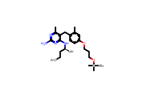 CCC[C@@H](CCOC(C)=O)Nc1nc(N)nc(C)c1Cc1ccc(OCCCO[Si](C)(C)C(C)(C)C)cc1C